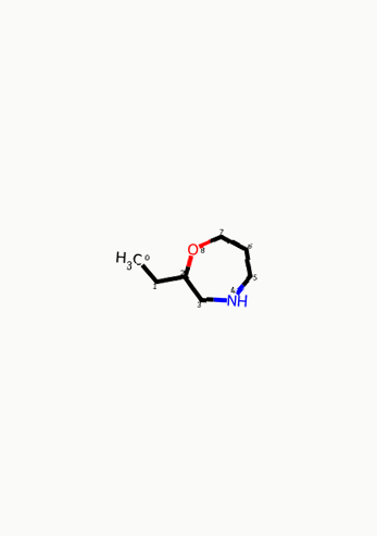 CCC1CNCCCO1